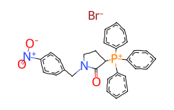 O=C1C([P+](c2ccccc2)(c2ccccc2)c2ccccc2)CCN1Cc1ccc([N+](=O)[O-])cc1.[Br-]